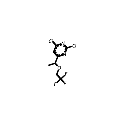 CC(OCC(F)(F)F)c1cc(Cl)nc(Cl)n1